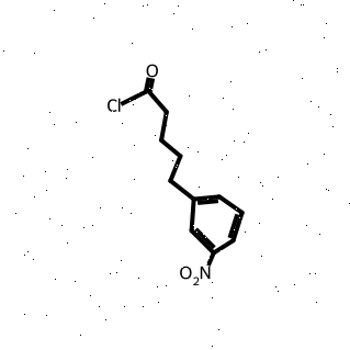 O=C(Cl)CCCCc1cccc([N+](=O)[O-])c1